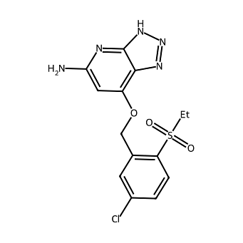 CCS(=O)(=O)c1ccc(Cl)cc1COc1cc(N)nc2[nH]nnc12